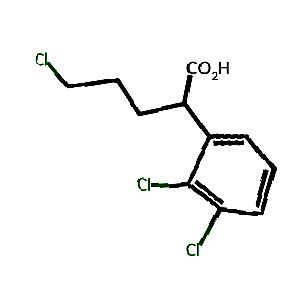 O=C(O)C(CCCCl)c1cccc(Cl)c1Cl